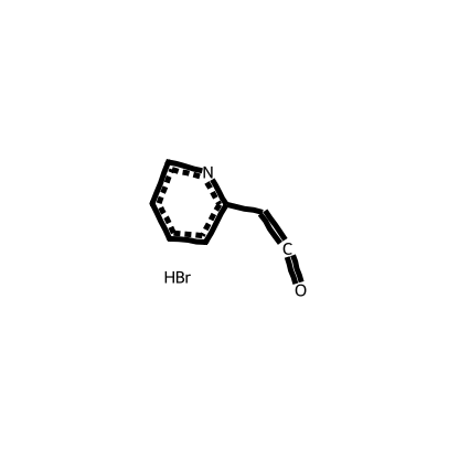 Br.O=C=Cc1ccccn1